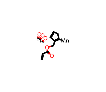 C=CC(=O)OCC1=[C]([Mn])CC=C1.[C]=O.[C]=O.[C]=O